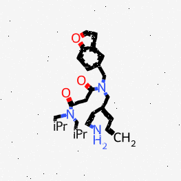 C=C/C=C(\C=C/N)CN(Cc1ccc2occc2c1)C(=O)CC(=O)N(CC(C)C)CC(C)C